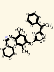 Cc1cc(Oc2nc(C(C)c3ccccc3)ns2)c(C)cc1/N=C\N1CCCCC1